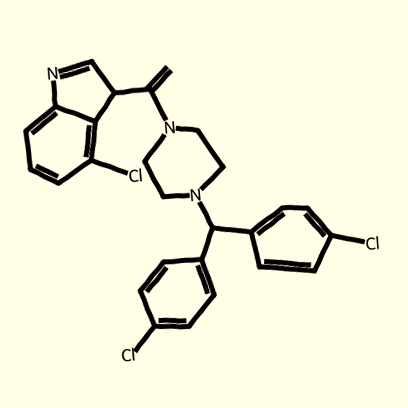 C=C(C1C=Nc2cccc(Cl)c21)N1CCN(C(c2ccc(Cl)cc2)c2ccc(Cl)cc2)CC1